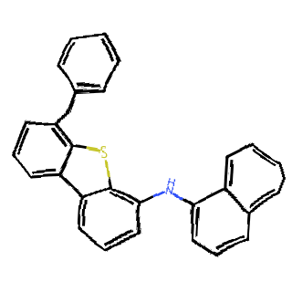 c1ccc(-c2cccc3c2sc2c(Nc4cccc5ccccc45)cccc23)cc1